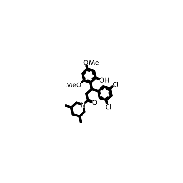 COc1cc(O)c(C(CC(=O)N2CC(C)CC(C)C2)c2cc(Cl)cc(Cl)c2)c(OC)c1